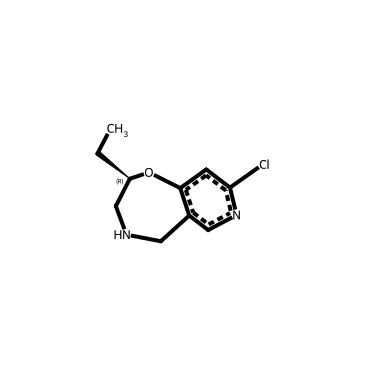 CC[C@@H]1CNCc2cnc(Cl)cc2O1